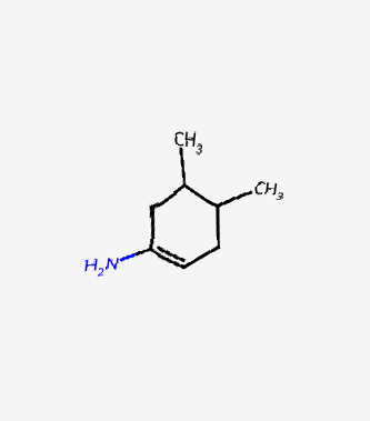 CC1CC=C(N)CC1C